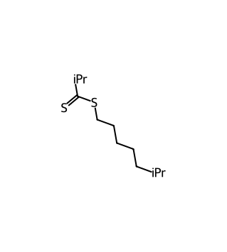 CC(C)CCCCCSC(=S)C(C)C